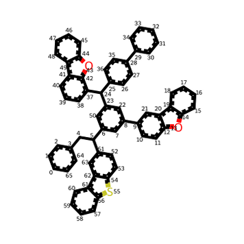 c1ccc(CC(c2cc(-c3ccc4oc5ccccc5c4c3)cc(C(c3ccc(-c4ccccc4)cc3)c3cccc4c3oc3ccccc34)c2)c2ccc3sc4ccccc4c3c2)cc1